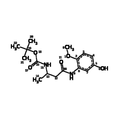 COc1ccc(O)cc1NC(=O)CC(C)NC(=O)OC(C)(C)C